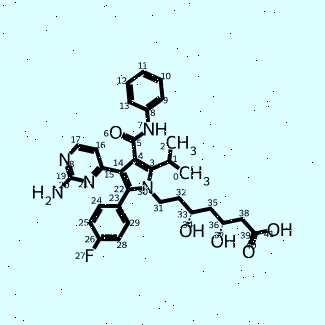 CC(C)c1c(C(=O)Nc2ccccc2)c(-c2ccnc(N)n2)c(-c2ccc(F)cc2)n1CC[C@@H](O)C[C@@H](O)CC(=O)O